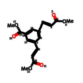 COC(=O)C=Cc1cc(C=CC(=O)OC)cc(C(=O)OC)c1